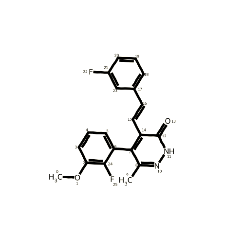 COc1cccc(-c2c(C)n[nH]c(=O)c2C=Cc2cccc(F)c2)c1F